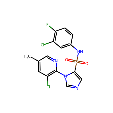 O=S(=O)(Nc1ccc(F)c(Cl)c1)c1cncn1-c1ncc(C(F)(F)F)cc1Cl